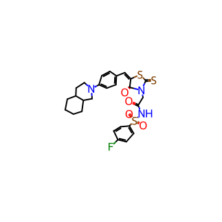 O=C(CN1C(=O)C(=Cc2ccc(N3CCC4CCCCC4C3)cc2)SC1=S)NS(=O)(=O)c1ccc(F)cc1